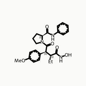 CC[C@H](C(=O)NO)[C@H](C(=O)N1CCC[C@H]1C(=O)Nc1ccccc1)c1ccc(OC)cc1